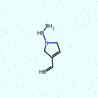 B=CC1=CCN(BB)C1